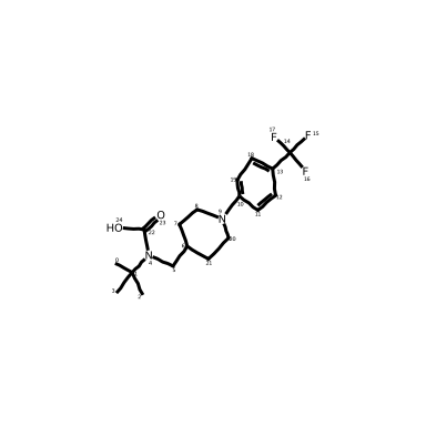 CC(C)(C)N(CC1CCN(c2ccc(C(F)(F)F)cc2)CC1)C(=O)O